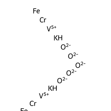 [Cr].[Cr].[Fe].[Fe].[KH].[KH].[O-2].[O-2].[O-2].[O-2].[O-2].[V+5].[V+5]